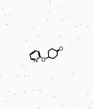 O=C1CCC(Oc2ccccn2)CC1